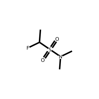 CC(F)S(=O)(=O)N(C)C